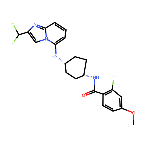 COc1ccc(C(=O)N[C@H]2CC[C@@H](Nc3cccc4nc(C(F)F)cn34)CC2)c(F)c1